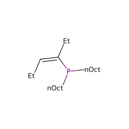 CCC=C(CC)P(CCCCCCCC)CCCCCCCC